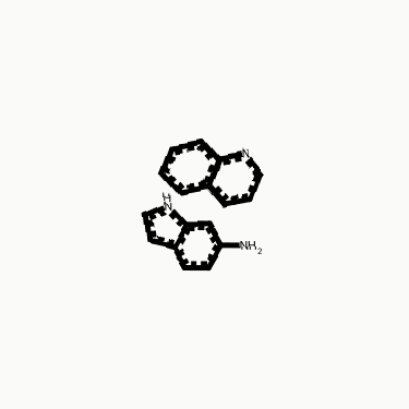 Nc1ccc2cc[nH]c2c1.c1ccc2ncccc2c1